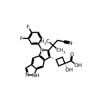 CC(C)(CC#N)c1c([C@H]2C[C@](O)(C(=O)O)C2)c2cc3[nH]ncc3cc2n1-c1ccc(F)c(F)c1